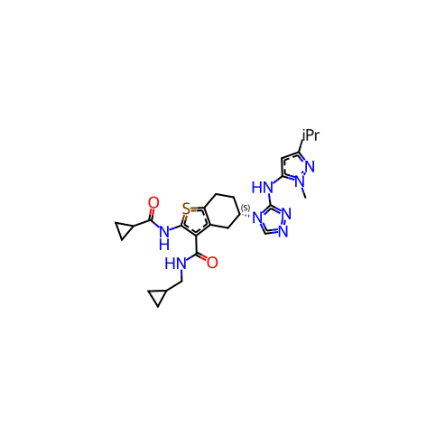 CC(C)c1cc(Nc2nncn2[C@H]2CCc3sc(NC(=O)C4CC4)c(C(=O)NCC4CC4)c3C2)n(C)n1